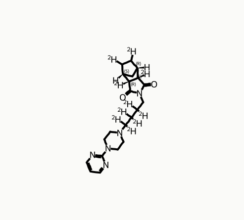 [2H]C1C([2H])[C@@H]2C[C@H]1[C@]1([2H])C(=O)N(CC([2H])([2H])C([2H])([2H])C([2H])([2H])N3CCN(c4ncccn4)CC3)C(=O)[C@]21[2H]